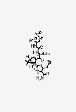 CC(C)[C@@H](CN(C)S(C)(=O)=O)NC(=O)N[C@H](C(=O)N1C[C@H]2[C@@H]([C@H]1C(=O)NC(CC1CC1)C(=O)C(N)=O)C2(C)C)C(C)(C)C